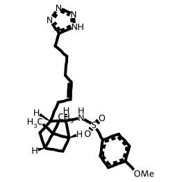 COc1ccc(S(=O)(=O)N[C@@H]2[C@@H](C/C=C\CCCc3nnn[nH]3)C[C@H]3C[C@@H]2C3(C)C)cc1